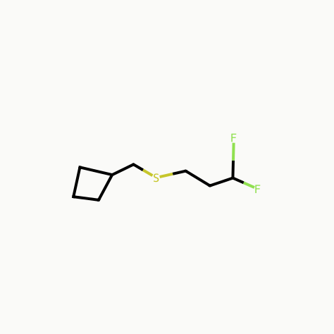 FC(F)CCSCC1CCC1